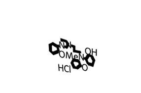 COc1ccccc1N1CCN(CCCN2c3ccccc3Oc3cccc(O)c32)C1.Cl